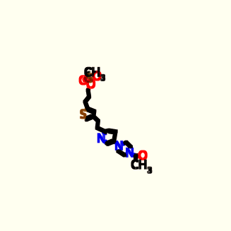 CC(=O)N1CCN(c2ccc(CCc3csc(CCCOS(C)(=O)=O)c3)nc2)CC1